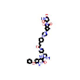 NC(=O)c1c(-c2ccc(Oc3ccccc3)cc2)nn2c1NCC[C@H]2C1CCN(C(=O)CCC2CCC(N3CCN(c4ccc5c(c4)C(=O)N(C4CCC(=O)NC4=O)C5=O)CC3)CC2)CC1